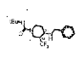 CC(C)(C)OC(=O)N1CC[C@@H](NCc2ccccc2)[C@@H](C(F)(F)F)C1